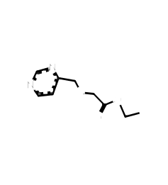 CCOC(=O)CSCc1ccncn1